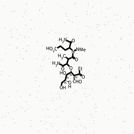 CCC(=O)[C@@H](C=O)[C@@H](OC(C(N)=O)C(C)C(=O)N(NC)C(CCC(=O)O)C(N)=O)[C@H](O)[C@H](O)CO